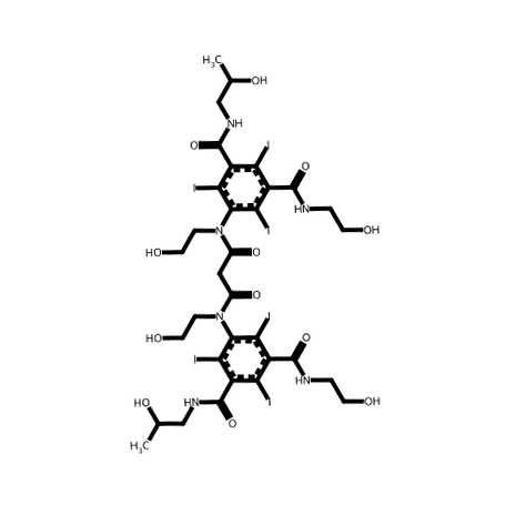 CC(O)CNC(=O)c1c(I)c(C(=O)NCCO)c(I)c(N(CCO)C(=O)CC(=O)N(CCO)c2c(I)c(C(=O)NCCO)c(I)c(C(=O)NCC(C)O)c2I)c1I